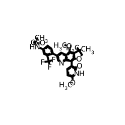 COc1ccc(-c2c3c(c(OC)c4cc(-c5ccc(NS(C)(=O)=O)cc5C(F)(F)F)cnc24)C(C)(C)CO3)c(=O)[nH]1